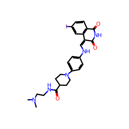 CN(C)CCNC(=O)C1CCN(c2ccc(NC=C3C(=O)NC(=O)c4ccc(I)cc43)cc2)CC1